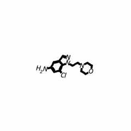 Nc1cc(Cl)c2c(cnn2CCN2CCOCC2)c1